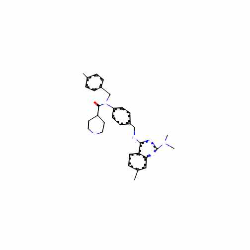 Cc1ccc2c(NCc3ccc(N(Cc4ccc(C(F)(F)F)cc4)C(=O)C4CCNCC4)cc3)nc(N(C)C)nc2c1